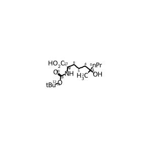 CCC[C@](C)(O)CCC[C@H](NC(=O)OC(C)(C)C)C(=O)O